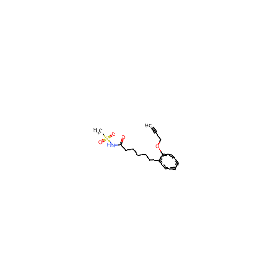 C#CCOc1ccccc1CCCCCC(=O)NS(C)(=O)=O